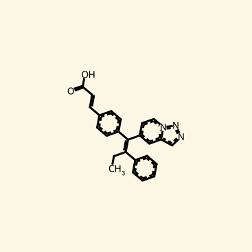 CCC(=C(c1ccc(C=CC(=O)O)cc1)c1ccn2nncc2c1)c1ccccc1